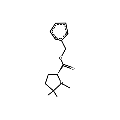 CN1[C@H](C(=O)OCc2ccccc2)CCC1(C)C